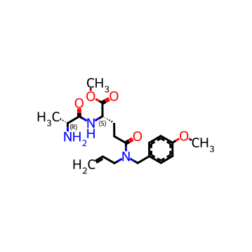 C=CCN(Cc1ccc(OC)cc1)C(=O)CC[C@H](NC(=O)[C@@H](C)N)C(=O)OC